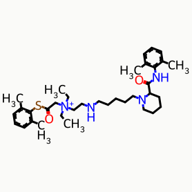 CC[N+](CC)(CCNCCCCCN1CCCCC1C(=O)Nc1c(C)cccc1C)CC(=O)Sc1c(C)cccc1C